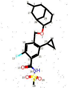 CC1CC2CCC(OCc3cc(F)c(C(=O)NS(C)(=O)=O)cc3C3CC3)C(C1)C2